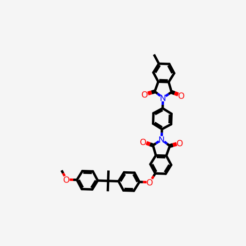 COc1ccc(C(C)(C)c2ccc(Oc3ccc4c(c3)C(=O)N(c3ccc(N5C(=O)c6ccc(C)cc6C5=O)cc3)C4=O)cc2)cc1